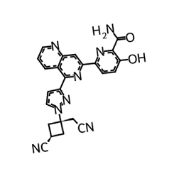 N#CC[C@]1(n2ccc(-c3nc(-c4ccc(O)c(C(N)=O)n4)cc4ncccc34)n2)C[C@H](C#N)C1